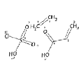 C=C.C=CC(=O)O.O=S(=O)(O)Cl